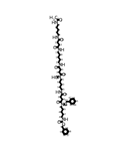 CC(=O)NCCCCCNC(=O)CCC(=O)NCCCCCNC(=O)CCC(=O)N(O)CCCCCNC(=O)CCC(=O)N(CCCCCNC(=O)OCc1ccccc1)OCc1ccccc1